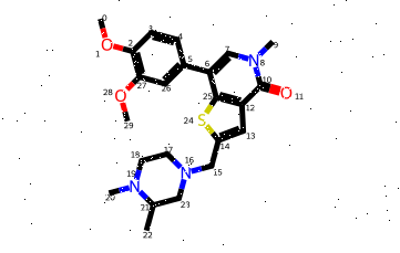 COc1ccc(-c2cn(C)c(=O)c3cc(CN4CCN(C)C(C)C4)sc23)cc1OC